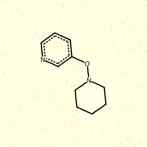 [c]1ncccc1ON1CCCCC1